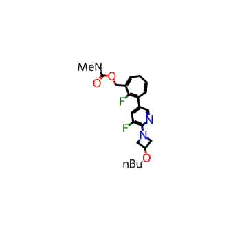 CCCCOC1CN(c2ncc(C3=C(F)C(COC(=O)NC)=CCC=C3)cc2F)C1